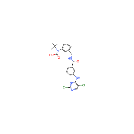 CC(C)(C)N(C(=O)O)c1cccc(CNC(=O)c2cccc(Nc3nc(Cl)ncc3Cl)c2)c1